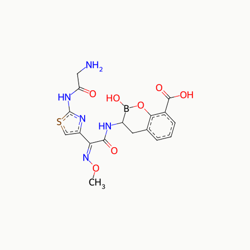 CO/N=C(\C(=O)NC1Cc2cccc(C(=O)O)c2OB1O)c1csc(NC(=O)CN)n1